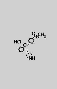 COC(=O)c1ccc(COc2ccccc2CN2CCNCC2)cc1.Cl